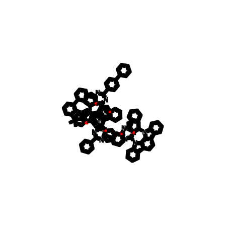 CC1(C)c2cc3c(cc2-c2c(-c4cccc(-c5nc(-c6ccc(-c7ccccc7)cc6)nc(-n6c7ccccc7c7c(-c8cccc(-c9nc(-c%10ccccc%10)nc(-n%10c%11ccccc%11c%11ccc%12c%13ccccc%13n(-c%13ccccc%13)c%12c%11%10)n9)c8)cc8c9ccccc9n(-c9ccccc9)c8c76)n5)c4)cccc21)c1ccccc1n3-c1nc(-c2ccccc2)nc(-c2ccccc2)n1